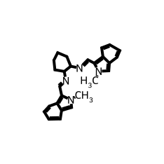 Cn1cc2ccccc2c1C=NC1CCCCC1N=Cc1c2ccccc2cn1C